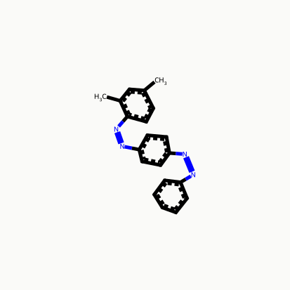 Cc1ccc(/N=N\c2ccc(/N=N\c3ccccc3)cc2)c(C)c1